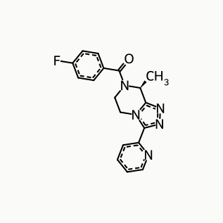 C[C@H]1c2nnc(-c3ccccn3)n2CCN1C(=O)c1ccc(F)cc1